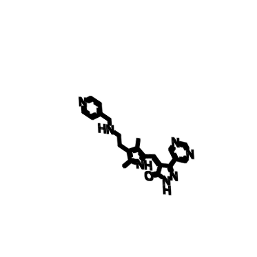 Cc1[nH]c(C=C2C(=O)NN=C2c2cncnc2)c(C)c1CCNCc1ccncc1